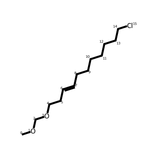 COCOCC/C=C/CCCCCCCCl